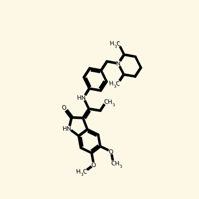 CC/C(Nc1ccc(CN2C(C)CCCC2C)cc1)=C1/C(=O)Nc2cc(OC)c(OC)cc21